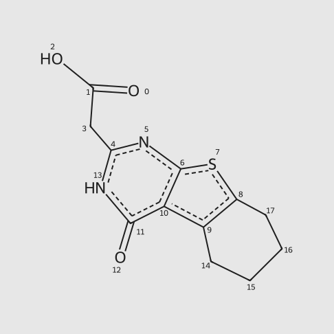 O=C(O)Cc1nc2sc3c(c2c(=O)[nH]1)CCCC3